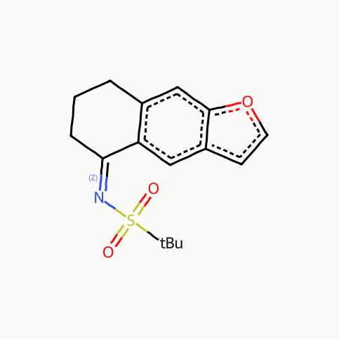 CC(C)(C)S(=O)(=O)/N=C1/CCCc2cc3occc3cc21